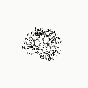 CC1=C(C)C(C)C([Si](c2cc([Si](C)(C)C)c(C)c([Si](C)(C)C)c2)(c2cc([Si](C)(C)C)c(C)c([Si](C)(C)C)c2)c2cc([Si](C)(C)C)c(C)c([Si](C)(C)C)c2)=C1C